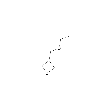 CCOCC1COC1